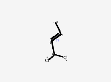 [CH2]/C=C/C(Cl)Cl